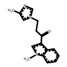 Cc1cn(CCC(=O)c2cn(C)c3ccccc23)cn1